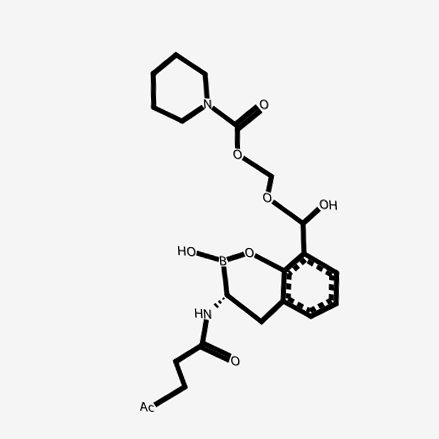 CC(=O)CCC(=O)N[C@H]1Cc2cccc(C(O)OCOC(=O)N3CCCCC3)c2OB1O